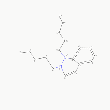 CCCCCN1C=Cc2ccccc2N1CCCCC